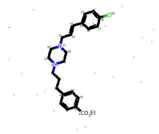 CCOC(=O)c1ccc(CCCN2CCN(CC=Cc3ccc(Cl)cc3)CC2)cc1